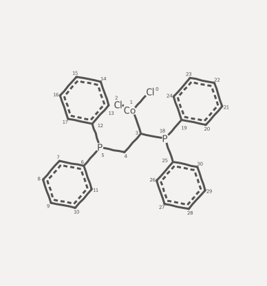 [Cl][Co]([Cl])[CH](CP(c1ccccc1)c1ccccc1)P(c1ccccc1)c1ccccc1